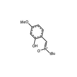 COc1ccc(C=[N+]([O-])C(C)(C)C)c(O)c1